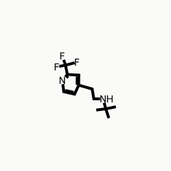 CC(C)(C)NCCc1ccnc(C(F)(F)F)c1